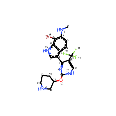 CNc1ccc2c(C3=NC(OC4CCCNC4)NC=C3C(F)(F)F)c[nH]c2c1Br